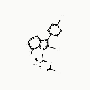 CC(=O)OC(n1c(C)c(-c2ccc(Cl)cc2)c2cccc(Cl)c21)S(=O)(=O)O